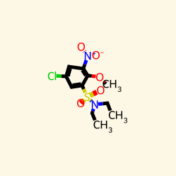 CCN(CC)S(=O)(=O)c1cc(Cl)cc([N+](=O)[O-])c1OC